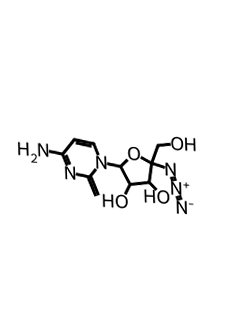 C=C1N=C(N)C=CN1C1OC(CO)(N=[N+]=[N-])C(O)C1O